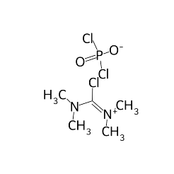 CN(C)C(Cl)=[N+](C)C.O=P([O-])(Cl)Cl